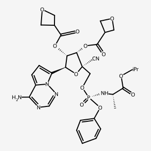 CC(C)OC(=O)[C@H](C)N[P@](=O)(OC[C@@]1(C#N)O[C@@H](c2ccc3c(N)ncnn23)[C@H](OC(=O)C2COC2)[C@@H]1OC(=O)C1COC1)Oc1ccccc1